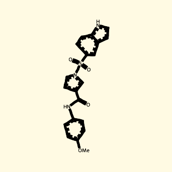 COc1ccc(NC(=O)c2ccn(S(=O)(=O)c3ccc4[nH]ccc4c3)c2)cc1